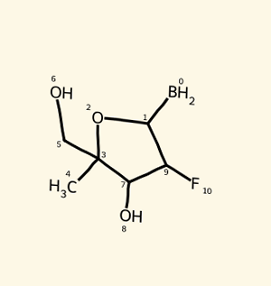 BC1OC(C)(CO)C(O)C1F